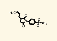 C/C=C\CC1CC(=O)N(c2ccc(S(N)(=O)=O)cc2)C1=O